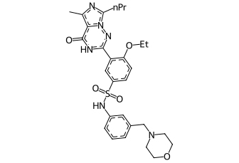 CCCc1nc(C)c2c(=O)[nH]c(-c3cc(S(=O)(=O)Nc4cccc(CN5CCOCC5)c4)ccc3OCC)nn12